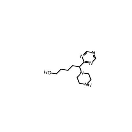 OCCCCC(c1ncncn1)N1CCNCC1